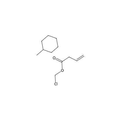 C=CCC(=O)OCCl.CC1CCCCC1